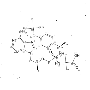 C[C@@H](Cn1cnc2c(N)ncnc21)OCP(=O)(N[C@H](C)c1ccc(OC(F)(F)F)cc1)NC(C)(C)C(=O)O